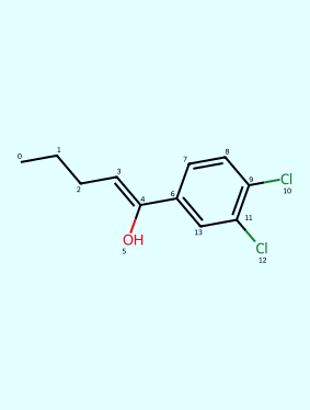 CCCC=C(O)c1ccc(Cl)c(Cl)c1